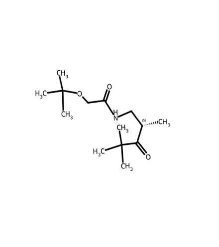 C[C@@H](CNC(=O)COC(C)(C)C)C(=O)C(C)(C)C